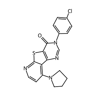 O=c1c2sc3nccc(N4CCCC4)c3c2ncn1-c1ccc(Cl)cc1